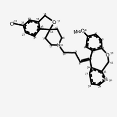 COc1ccc2c(c1)C(=CCCN1CCC3(CC1)OCc1cc(Cl)ccc13)c1cccnc1CO2